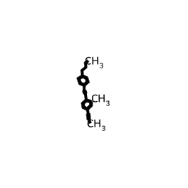 CC#Cc1ccc(C#Cc2ccc(CCCC)cc2)c(C)c1